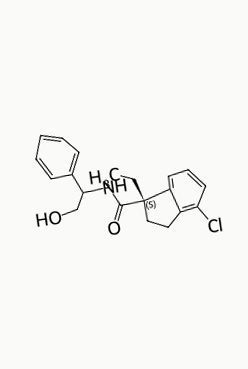 CC[C@]1(C(=O)NC(CO)c2ccccc2)CCc2c(Cl)cccc21